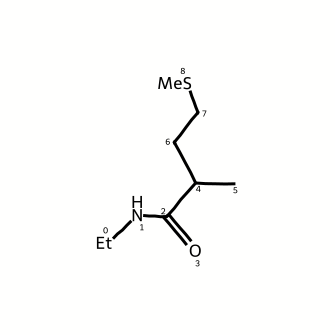 CCNC(=O)C(C)CCSC